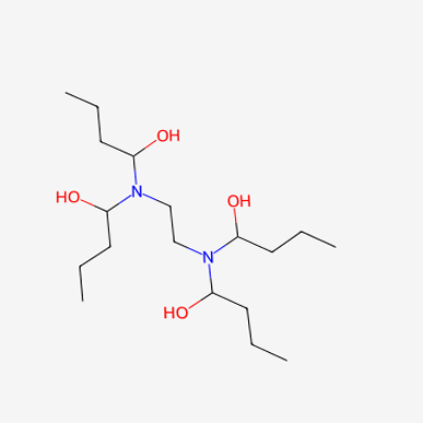 CCCC(O)N(CCN(C(O)CCC)C(O)CCC)C(O)CCC